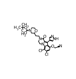 CC(C)(C)OC(=O)N1CCOC(CCN2CCn3c(c(-c4cn[nH]c4)c4c(OCC#N)cc(Cl)c(Cl)c43)C2=O)C1